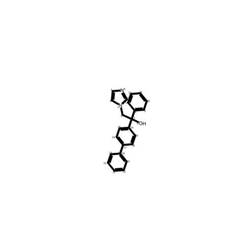 OC(Cn1ccnc1)(c1ccccc1)c1ccc(-c2ccccc2)cc1